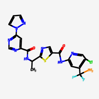 CC(NC(=O)c1cc(-n2cccn2)ncn1)c1ncc(C(=O)Nc2cc(C(F)(F)P)c(Cl)cn2)s1